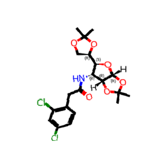 CC1(C)O[C@H]2O[C@H]([C@H]3COC(C)(C)O3)[C@@H](NC(=O)Cc3ccc(Cl)cc3Cl)[C@H]2O1